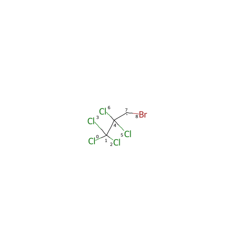 ClC(Cl)(Cl)C(Cl)(Cl)[CH]Br